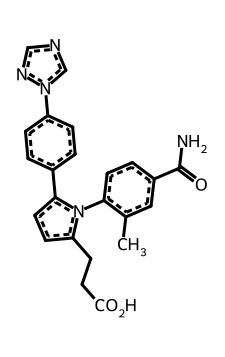 Cc1cc(C(N)=O)ccc1-n1c(CCC(=O)O)ccc1-c1ccc(-n2cncn2)cc1